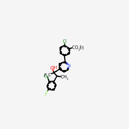 CCOC(=O)c1cc(-c2cc(C(O)(C(C)c3ccc(F)cc3Cl)C(F)(F)F)ccn2)ccc1Cl